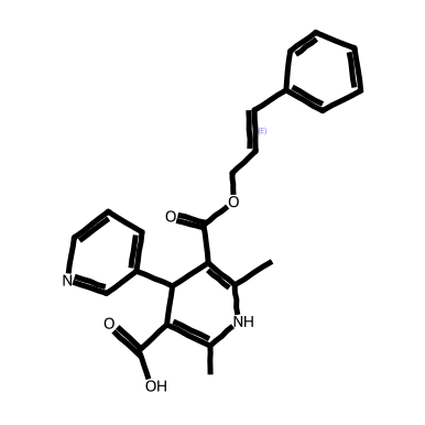 CC1=C(C(=O)O)C(c2cccnc2)C(C(=O)OC/C=C/c2ccccc2)=C(C)N1